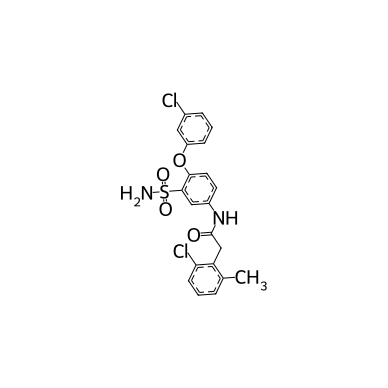 Cc1cccc(Cl)c1CC(=O)Nc1ccc(Oc2cccc(Cl)c2)c(S(N)(=O)=O)c1